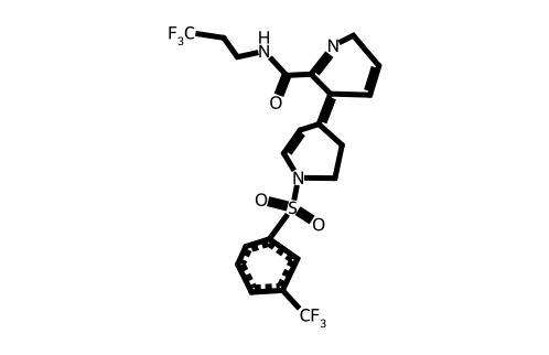 O=C(NCCC(F)(F)F)C1=NCC=CC1=C1C=CN(S(=O)(=O)c2cccc(C(F)(F)F)c2)CC1